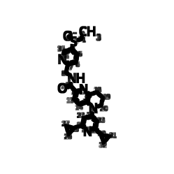 CC[S+]([O-])c1ccc(CNC(=O)c2ccc3c(n2)CCCN3c2cc(C3CC3)nc(C3CC3)c2)nc1